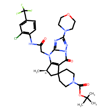 C[C@@H]1CC2(CCN(C(=O)OC(C)(C)C)CC2)c2c1n(CC(=O)Nc1ccc(C(F)(F)F)cc1Cl)c1nc(N3CCOCC3)nn1c2=O